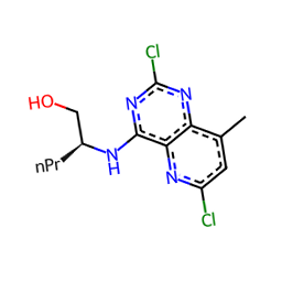 CCC[C@@H](CO)Nc1nc(Cl)nc2c(C)cc(Cl)nc12